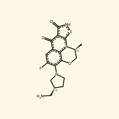 C[C@H]1COc2c(N3CC[C@@H](CN)C3)c(F)cc3c(=O)c4c(=O)[nH]sc4n1c23